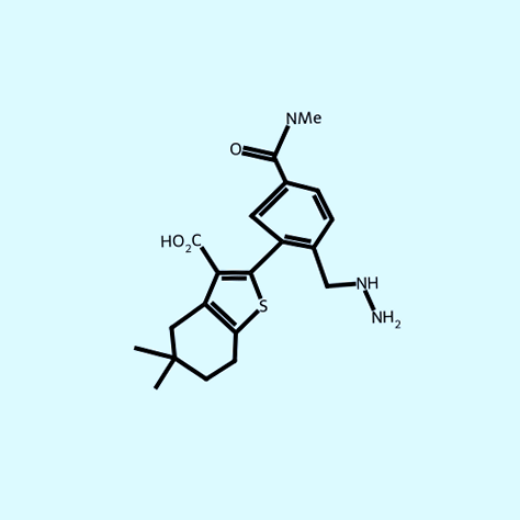 CNC(=O)c1ccc(CNN)c(-c2sc3c(c2C(=O)O)CC(C)(C)CC3)c1